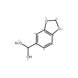 CC(=O)OC(O)c1ccc2c(c1)OCO2